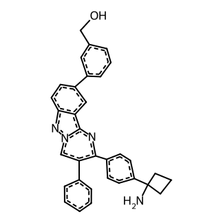 NC1(c2ccc(-c3nc4c5cc(-c6cccc(CO)c6)ccc5nn4cc3-c3ccccc3)cc2)CCC1